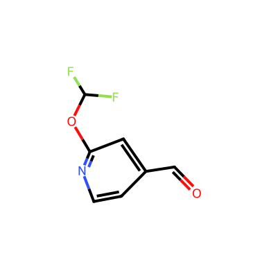 O=Cc1ccnc(OC(F)F)c1